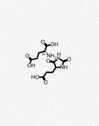 N[C@H](CCC(=O)O)C(=O)O.O=C(O)CCC1NC(=O)NC1=O